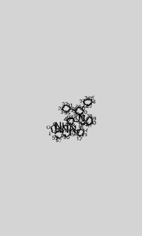 C1=CC2=C(NC1)C1NC(N3c4ccccc4-c4c(n(-c5cc(-c6ccccc6)cc(-c6ccccc6)c5)c5ccccc45)-c4ccccc43)=CC=C1C=C2